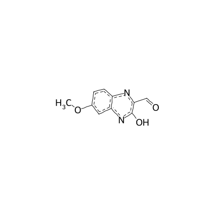 COc1ccc2nc(C=O)c(O)nc2c1